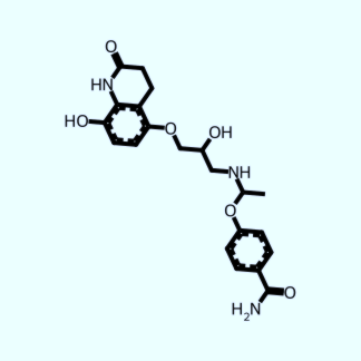 CC(NCC(O)COc1ccc(O)c2c1CCC(=O)N2)Oc1ccc(C(N)=O)cc1